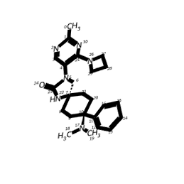 Cc1ncc(N2C[C@]3(CC[C@](c4ccccc4)(N(C)C)CC3)NC2=O)c(N2CCC2)n1